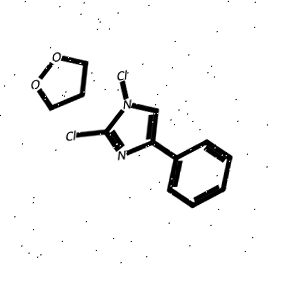 C1COOC1.Clc1nc(-c2ccccc2)cn1Cl